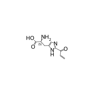 C=CC(=O)c1ncc(C[C@H](N)C(=O)O)[nH]1